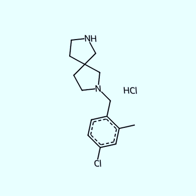 Cc1cc(Cl)ccc1CN1CCC2(CCNC2)C1.Cl